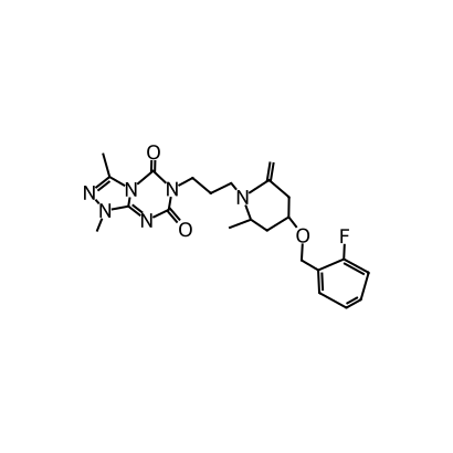 C=C1CC(OCc2ccccc2F)CC(C)N1CCCn1c(=O)nc2n(C)nc(C)n2c1=O